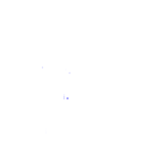 COc1ccc(CN(Cc2ccc(OC)cc2)c2nccc(-c3cnn(C)c3)c2N2CCC(F)(F)CC2)cc1